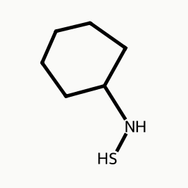 SNC1CCCCC1